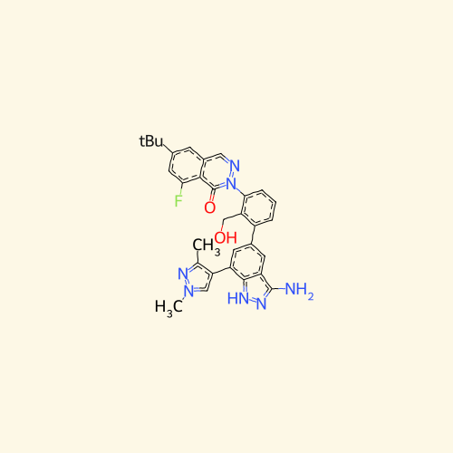 Cc1nn(C)cc1-c1cc(-c2cccc(-n3ncc4cc(C(C)(C)C)cc(F)c4c3=O)c2CO)cc2c(N)n[nH]c12